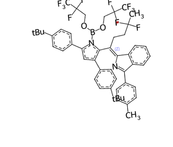 Cc1ccc(C2=N/C(=C(/CCC(C)(F)F)c3c(-c4ccc(C(C)(C)C)cc4)cc(-c4ccc(C(C)(C)C)cc4)n3B(OCC(F)(F)C(F)(F)F)OCC(F)(F)C(F)(F)F)c3ccccc32)cc1